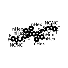 [C-]#[N+]/C(C#N)=C1\C(=C\c2cc3c(s2)c2sc4c(c2n3CCCCCC)C(c2ccc(CCCCCC)cc2)(c2ccc(CCCCCC)cc2)c2cc3c(cc2-4)C(c2ccc(CCCCCC)cc2)(c2ccc(CCCCCC)cc2)c2c-3sc3c4sc(/C=C5\C(=O)c6cc(F)c(F)cc6\C5=C(\C#N)[N+]#[C-])cc4n(CCCCCC)c23)C(=O)c2cc(F)c(F)cc21